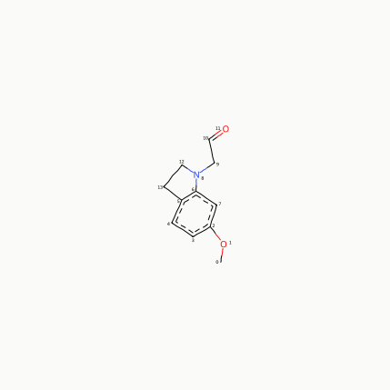 COc1ccc2c(c1)N(CC=O)CC2